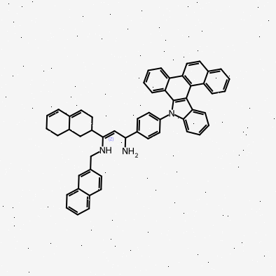 NC(/C=C(\NCc1ccc2ccccc2c1)C1CC=C2C=CCCC2C1)c1ccc(-n2c3ccccc3c3c4c5ccccc5ccc4c4ccccc4c32)cc1